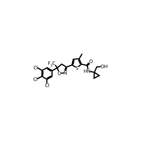 Cc1cc(C2=NOC(c3cc(Cl)c(Cl)c(Cl)c3)(C(F)(F)F)C2)sc1C(=O)NC1(CO)CC1